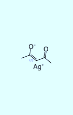 CC(=O)/C=C(/C)[O-].[Ag+]